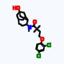 CN(C(=O)C(C)(C)CCOc1ccc(Cl)cc1Cl)C1CCC2CC3CC(O)(C2)CC31